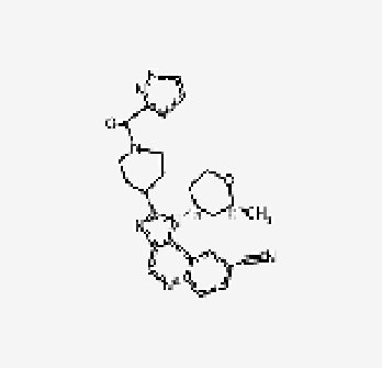 C[C@@H]1C[C@H](n2c(C3CCN(C(=O)c4cccnn4)CC3)nc3cnc4ccc(C#N)cc4c32)CCO1